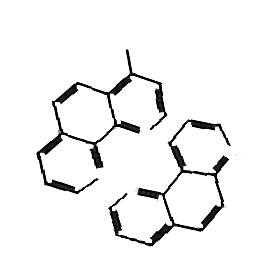 Brc1ccnc2c1ccc1cccnc12.c1cnc2c(c1)ccc1ncccc12